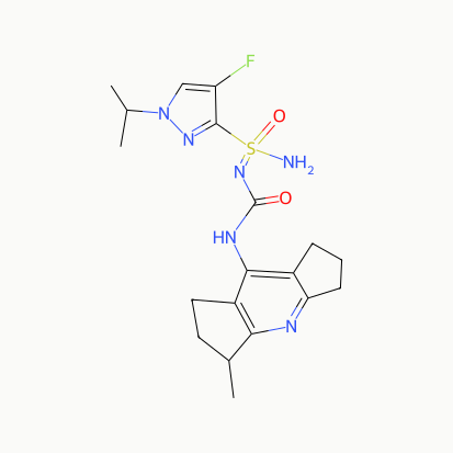 CC1CCc2c1nc1c(c2NC(=O)N=S(N)(=O)c2nn(C(C)C)cc2F)CCC1